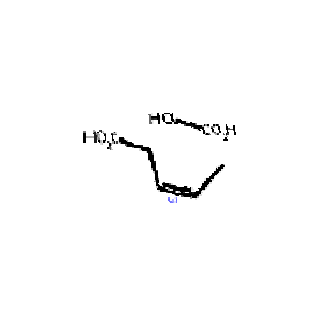 C/C=C\CC(=O)O.O=C(O)O